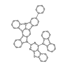 c1ccc(-c2ccc3c4cc5c(c6ccccc6n5-c5nc(-n6c7ccccc7c7ccccc76)c6c(n5)sc5ccccc56)c5c6ccccc6n(c3c2)c45)cc1